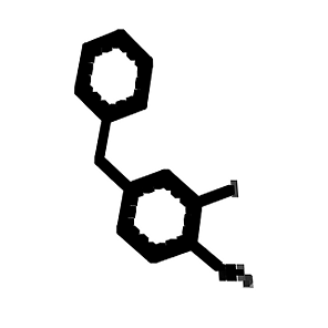 Nc1ccc(Cc2ccccc2)cc1I